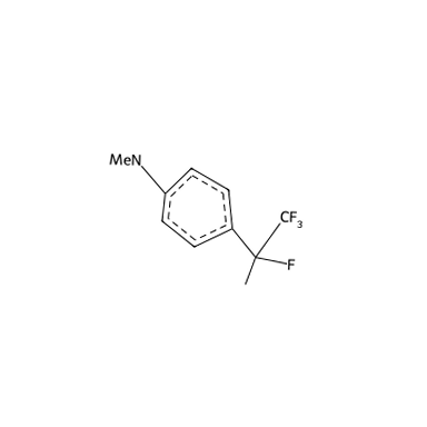 CNc1ccc(C(C)(F)C(F)(F)F)cc1